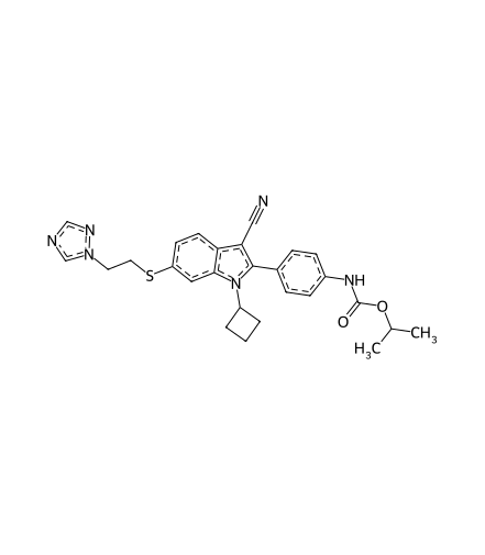 CC(C)OC(=O)Nc1ccc(-c2c(C#N)c3ccc(SCCn4cncn4)cc3n2C2CCC2)cc1